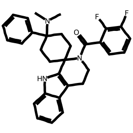 CN(C)C1(c2ccccc2)CCC2(CC1)c1[nH]c3ccccc3c1CCN2C(=O)c1cccc(F)c1F